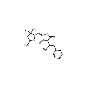 CCC1(C)CC(C)OC1/C=C1/SC(=S)N(C(Cc2ccccc2)C(=O)O)C1=O